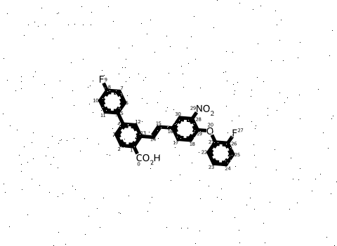 O=C(O)c1ccc(-c2ccc(F)cc2)cc1C=Cc1ccc(Oc2ccccc2F)c([N+](=O)[O-])c1